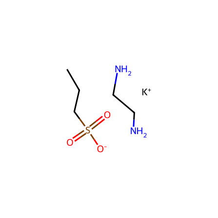 CCCS(=O)(=O)[O-].NCCN.[K+]